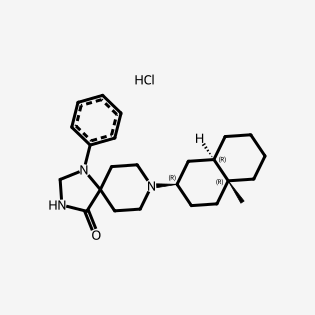 C[C@]12CCCC[C@@H]1C[C@H](N1CCC3(CC1)C(=O)NCN3c1ccccc1)CC2.Cl